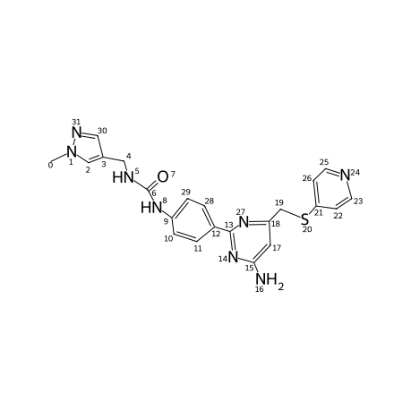 Cn1cc(CNC(=O)Nc2ccc(-c3nc(N)cc(CSc4ccncc4)n3)cc2)cn1